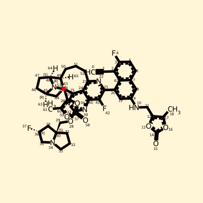 C#Cc1c(F)ccc2cc(NCc3oc(=O)oc3C)cc(-c3nc4c5c(nc(OC[C@@]67CCCN6C[C@H](F)C7)nc5c3F)N3C[C@H]5CC[C@@H]([C@H]3CCC4)N5Cc3oc(=O)oc3C)c12